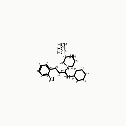 Cl.Cl.Cl.Clc1ccccc1CCC(NC1CCCCC1)N1CCNCC1